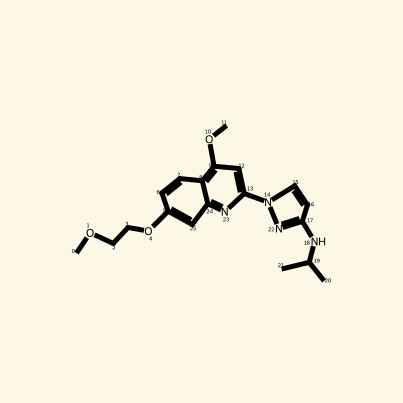 COCCOc1ccc2c(OC)cc(-n3ccc(NC(C)C)n3)nc2c1